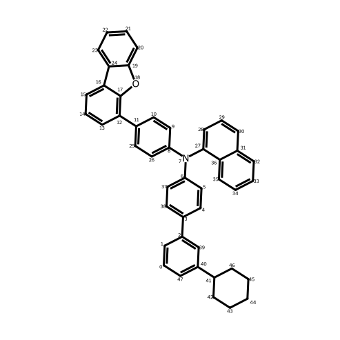 c1cc(-c2ccc(N(c3ccc(-c4cccc5c4oc4ccccc45)cc3)c3cccc4ccccc34)cc2)cc(C2CCCCC2)c1